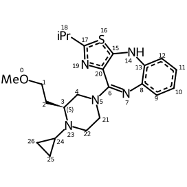 COCC[C@H]1CN(C2=Nc3ccccc3Nc3sc(C(C)C)nc32)CCN1C1CC1